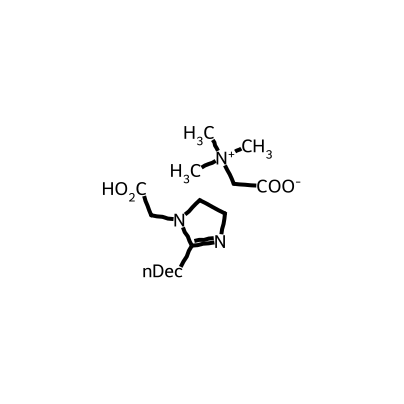 CCCCCCCCCCC1=NCCN1CC(=O)O.C[N+](C)(C)CC(=O)[O-]